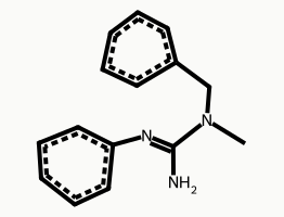 CN(Cc1ccccc1)C(N)=Nc1ccccc1